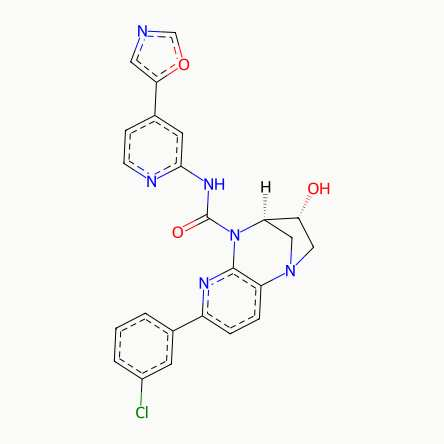 O=C(Nc1cc(-c2cnco2)ccn1)N1c2nc(-c3cccc(Cl)c3)ccc2N2C[C@@H](O)[C@H]1C2